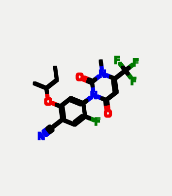 CCC(C)Oc1cc(-n2c(=O)cc(C(F)(F)F)n(C)c2=O)c(F)cc1C#N